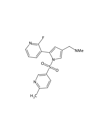 CNCc1cc(-c2cccnc2F)n(S(=O)(=O)c2ccc(C)nc2)c1